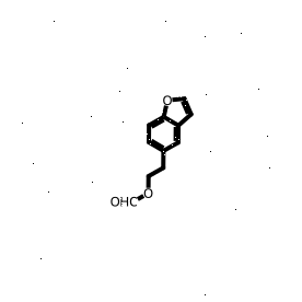 O=COCCc1ccc2occc2c1